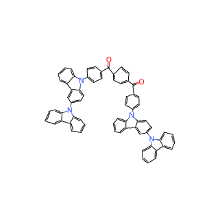 O=C(c1ccc(C(=O)c2ccc(-n3c4ccccc4c4cc(-n5c6ccccc6c6ccccc65)ccc43)cc2)cc1)c1ccc(-n2c3ccccc3c3cc(-n4c5ccccc5c5ccccc54)ccc32)cc1